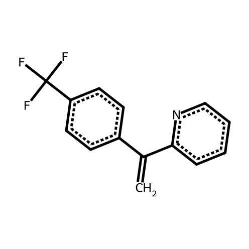 C=C(c1ccc(C(F)(F)F)cc1)c1ccccn1